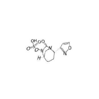 O=C1N2C[C@@H](CC[C@H]2c2ccon2)N1OS(=O)(=O)O